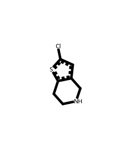 Clc1cc2c(s1)CCNC2